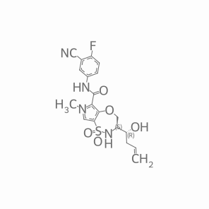 C=CC[C@@H](O)[C@@H]1COc2c(cn(C)c2C(=O)Nc2ccc(F)c(C#N)c2)S(=O)(=O)N1